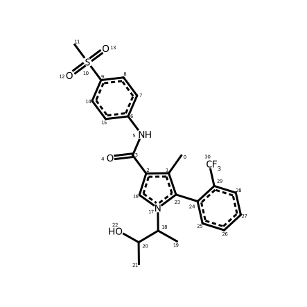 Cc1c(C(=O)Nc2ccc(S(C)(=O)=O)cc2)cn(C(C)C(C)O)c1-c1ccccc1C(F)(F)F